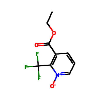 CCOC(=O)c1ccc[n+]([O-])c1C(F)(F)F